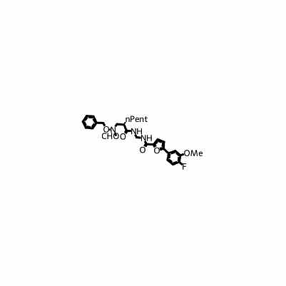 CCCCC[C@H](CN(C=O)OCc1ccccc1)C(=O)NCNC(=O)c1ccc(-c2ccc(F)c(OC)c2)o1